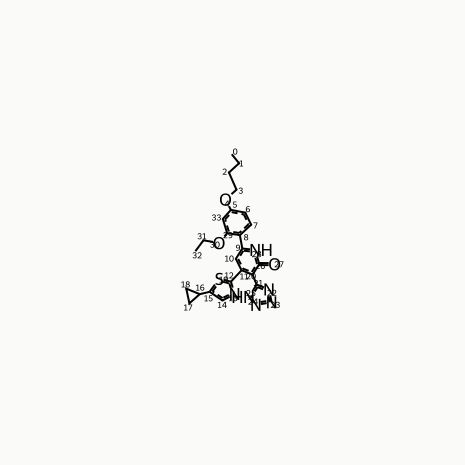 CCCCOc1ccc(-c2cc(-c3ncc(C4CC4)s3)c(-c3nnn[nH]3)c(=O)[nH]2)c(OCC)c1